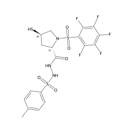 Cc1ccc(S(=O)(=O)NNC(=O)[C@@H]2C[C@@H](S)CN2S(=O)(=O)c2c(F)c(F)c(F)c(F)c2F)cc1